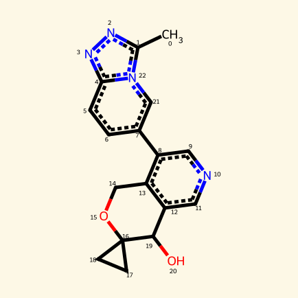 Cc1nnc2ccc(-c3cncc4c3COC3(CC3)C4O)cn12